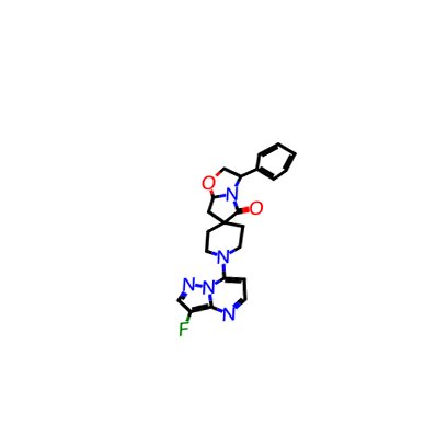 O=C1N2C(CC13CCN(c1ccnc4c(F)cnn14)CC3)OCC2c1ccccc1